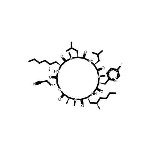 CCCC[C@@H](C)C[C@@H]1NC(=O)[C@H](Cc2ccc(F)cn2)N(C)C(=O)[C@H](CC(C)C)NC(=O)[C@H](CC(C)C)N(C)C(=O)[C@H](C[C@H](C)CCCC)NC(=O)[C@@H](CCC#N)OC(=O)[C@H](C)N(C)C1=O